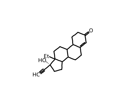 C#C[C@]1(O)CCC2C3CCC4=CC(=O)CCC4C3CCC21CC